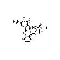 NC1=Nc2c(ncn2Cc2ccccc2OCCC(F)(F)P(=O)(O)O)C(Cl)N1